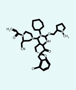 C=CC(=O)N1CCN(C2C3CC[C@]4(Cc5c(Cl)cccc5O4)C(=O)C3NC(OCC3CCCN3C)N2C2CCCCCC2)CC1CC#N